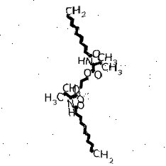 C=CCCCCCCCCC(=O)NC(C(=O)OCCCOC(=O)C(NC(=O)CCCCCCCCC=C)C(C)C)C(C)C